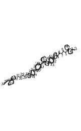 C=COC(=O)CCCCCOc1ccc(OC(=O)c2ccc(-c3ccc(OCCCCCCOC(=O)C=C)cc3)cc2)cc1